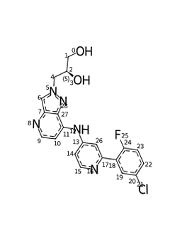 OC[C@@H](O)Cn1cc2nccc(Nc3ccnc(-c4cc(Cl)ccc4F)c3)c2n1